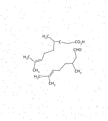 CC(C)=CCCC(C)CC=O.CC(C)=CCCC(C)CCC(=O)O